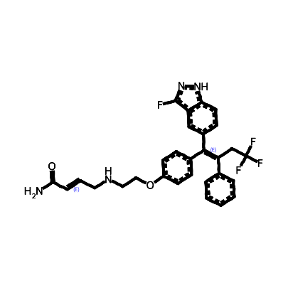 NC(=O)/C=C/CNCCOc1ccc(/C(=C(/CC(F)(F)F)c2ccccc2)c2ccc3[nH]nc(F)c3c2)cc1